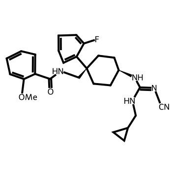 COc1ccccc1C(=O)NC[C@]1(c2ccccc2F)CC[C@H](N/C(=N/C#N)NCC2CC2)CC1